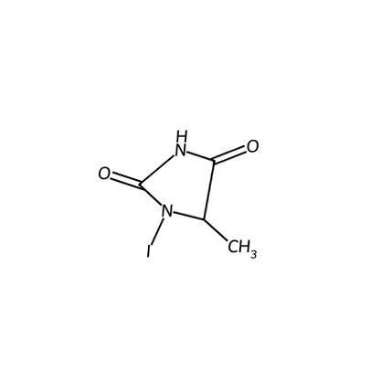 CC1C(=O)NC(=O)N1I